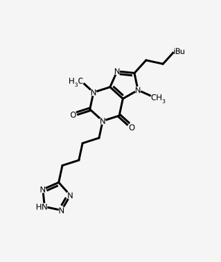 CCC(C)CCc1nc2c(c(=O)n(CCCCc3nn[nH]n3)c(=O)n2C)n1C